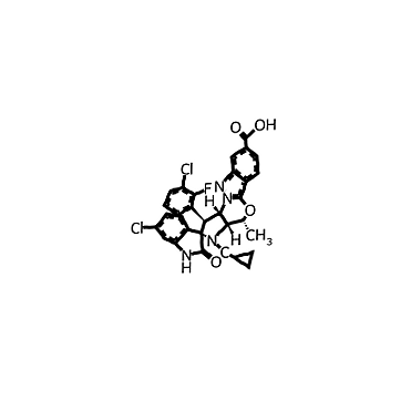 C[C@H]1Oc2c3ccc(C(=O)O)cc3nn2[C@@H]2[C@H]1N(CC1CC1)[C@@]1(C(=O)Nc3cc(Cl)ccc31)[C@H]2c1cccc(Cl)c1F